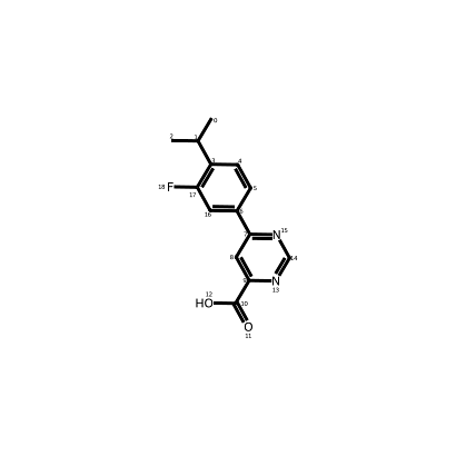 CC(C)c1ccc(-c2cc(C(=O)O)ncn2)cc1F